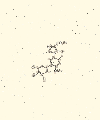 CCOC(=O)c1[nH]nc2c1SCc1cc(OC)c(-c3cc(Cl)c(Br)c(Cl)c3)cc1-2